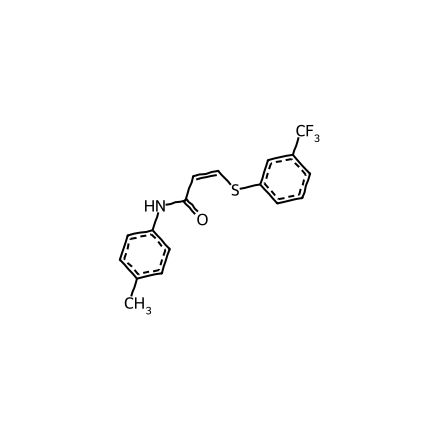 Cc1ccc(NC(=O)/C=C\Sc2cccc(C(F)(F)F)c2)cc1